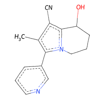 Cc1c(C#N)c2n(c1-c1cccnc1)CCCC2O